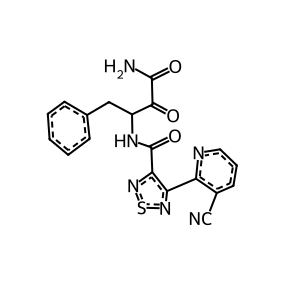 N#Cc1cccnc1-c1nsnc1C(=O)NC(Cc1ccccc1)C(=O)C(N)=O